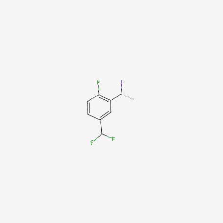 C[C@@H](I)c1cc(C(F)F)ccc1F